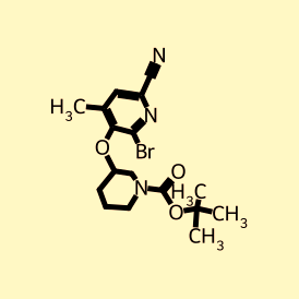 Cc1cc(C#N)nc(Br)c1OC1CCCN(C(=O)OC(C)(C)C)C1